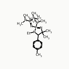 CCN1C(c2ccc(C)cc2)C(C)(C)N=P1(N=[PH](N(C)C)N(C)C)N(C)C